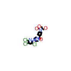 COCC1COC(=O)N1c1ccc(C(=O)N2CCN(c3nc(Cl)c(Cl)cc3Cl)CC2)cc1